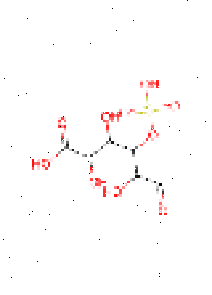 O=CC(O)C(OS(=O)(=O)O)C(O)C(O)C(=O)O